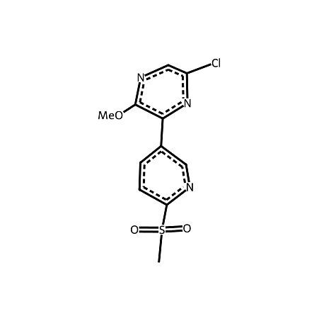 COc1ncc(Cl)nc1-c1ccc(S(C)(=O)=O)nc1